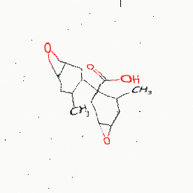 CC1CC2OC2C[C]1C1(C(=O)O)CC2OC2CC1C